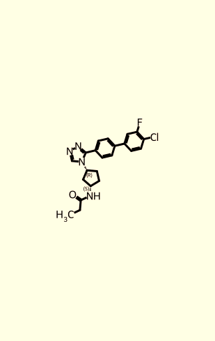 CCC(=O)N[C@H]1CC[C@@H](n2cnnc2-c2ccc(-c3ccc(Cl)c(F)c3)cc2)C1